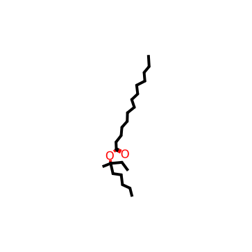 CCCCCCCCCCCCCC(=O)OC(C)(CC)CCCCC